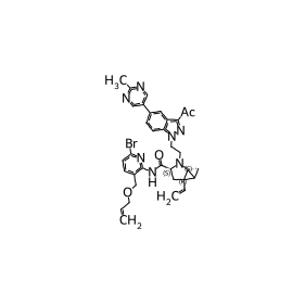 C=CCOCc1ccc(Br)nc1NC(=O)[C@@H]1C[C@@]2(C=C)C3C[C@]32N1CCn1nc(C(C)=O)c2cc(-c3cnc(C)nc3)ccc21